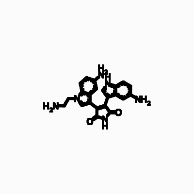 NCCn1cc(C2=C(c3c[nH]c4ccc(N)cc34)C(=O)NC2=O)c2cc(N)ccc21